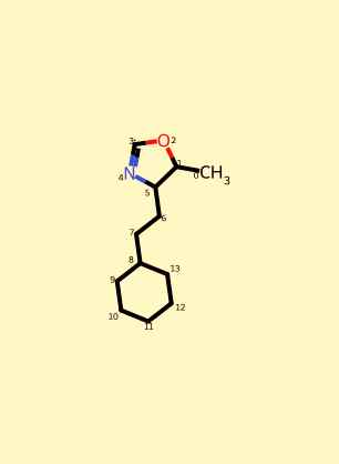 CC1O[C]=NC1CCC1CCCCC1